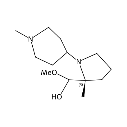 COC(O)[C@@]1(C)CCCN1C1CCN(C)CC1